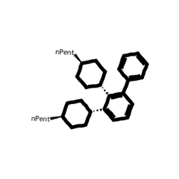 CCCCC[C@H]1CC[C@H](c2cccc(-c3ccccc3)c2[C@H]2CC[C@H](CCCCC)CC2)CC1